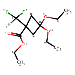 CCOC(=O)C1(C(F)(F)F)CC(OCC)(OCC)C1